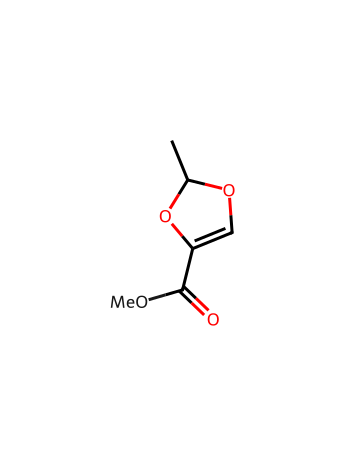 COC(=O)C1=COC(C)O1